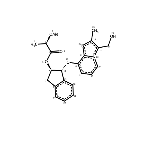 CO[C@H](C)C(=O)O[C@@H]1Cc2ccccc2[C@H]1Oc1cccn2c(CO)c(C)nc12